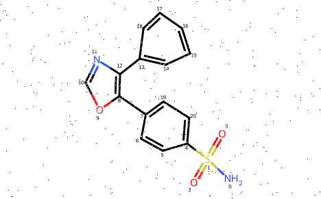 NS(=O)(=O)c1ccc(-c2ocnc2-c2ccccc2)cc1